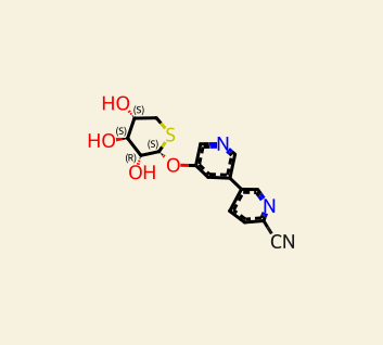 N#Cc1ccc(-c2cncc(O[C@H]3SC[C@@H](O)[C@H](O)[C@H]3O)c2)cn1